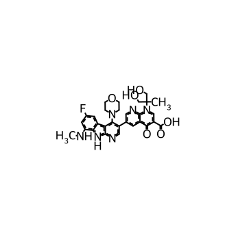 CNc1cc(F)cc2c1[nH]c1ncc(-c3cnc4c(c3)c(=O)c(C(=O)O)cn4C(C)(CO)CO)c(N3CCOCC3)c12